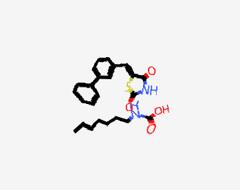 CCCCCCCNC(=O)O.O=C1NC(=O)C(=Cc2cccc(-c3ccccc3)c2)S1